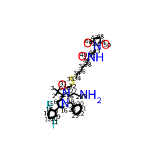 CC(C)(C)[C@H](c1cc(-c2cc(F)ccc2F)cn1Cc1ccccc1)N(CCCN)C(=O)CSCCCCCC(=O)NCCN1C(=O)C=CC1=O